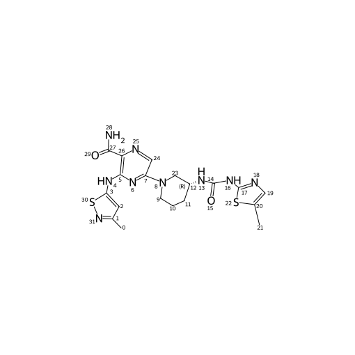 Cc1cc(Nc2nc(N3CCC[C@@H](NC(=O)Nc4ncc(C)s4)C3)cnc2C(N)=O)sn1